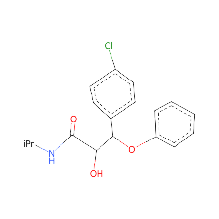 CC(C)NC(=O)C(O)C(Oc1ccccc1)c1ccc(Cl)cc1